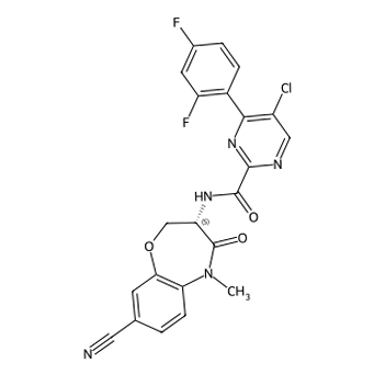 CN1C(=O)[C@@H](NC(=O)c2ncc(Cl)c(-c3ccc(F)cc3F)n2)COc2cc(C#N)ccc21